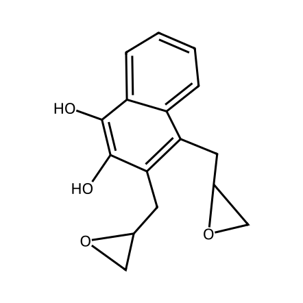 Oc1c(CC2CO2)c(CC2CO2)c2ccccc2c1O